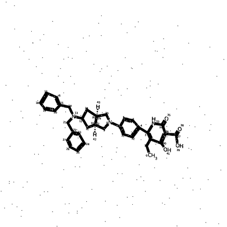 CCc1c(-c2ccc(N3C[C@H]4CC(N(Cc5ccccc5)Cc5ccccc5)C[C@H]4C3)cc2)[nH]c(=O)c(C(=O)O)c1O